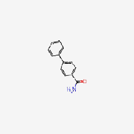 NC(=O)c1ccc(-c2ccccc2)cc1